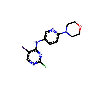 Clc1ncc(I)c(Nc2ccc(N3CCOCC3)nc2)n1